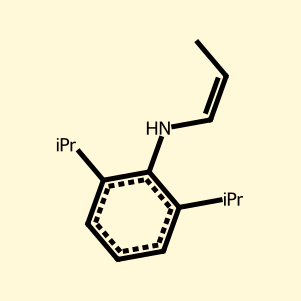 C/C=C\Nc1c(C(C)C)cccc1C(C)C